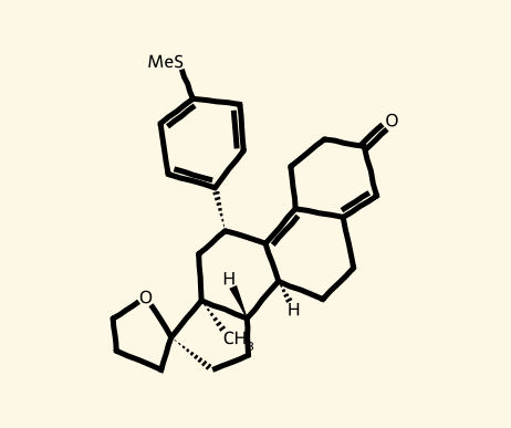 CSc1ccc([C@H]2C[C@@]3(C)[C@@H](CC[C@@]34CCCO4)[C@@H]3CCC4=CC(=O)CCC4=C32)cc1